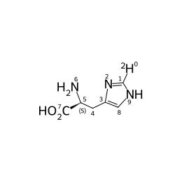 [2H]c1nc(C[C@H](N)C(=O)O)c[nH]1